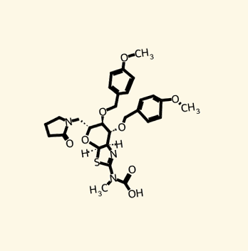 COc1ccc(CO[C@@H]2[C@H]3N=C(N(C)C(=O)O)S[C@H]3O[C@H](CN3CCCC3=O)[C@H]2OCc2ccc(OC)cc2)cc1